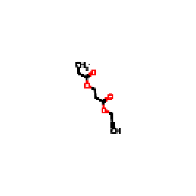 C#CCOC(=O)CCOC(=O)C[CH2]